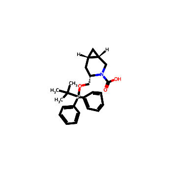 CC(C)(C)[Si](OC[C@@H]1C[C@@H]2C[C@@H]2CN1C(=O)O)(c1ccccc1)c1ccccc1